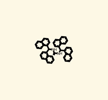 C=C(NC(c1cccc2ccccc12)c1cccc2ccccc12)NC(c1cccc2ccccc12)c1cccc2ccccc12